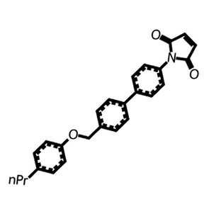 CCCc1ccc(OCc2ccc(-c3ccc(N4C(=O)C=CC4=O)cc3)cc2)cc1